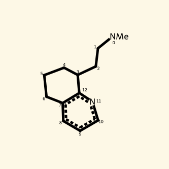 CNCCC1CCCc2cccnc21